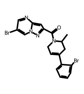 CC1CC(c2ccccc2Br)=CCN1C(=O)c1cc2ncc(Br)cn2n1